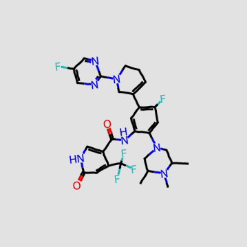 CC1CN(c2cc(F)c(C3=CCCN(c4ncc(F)cn4)C3)cc2NC(=O)c2c[nH]c(=O)cc2C(F)(F)F)CC(C)N1C